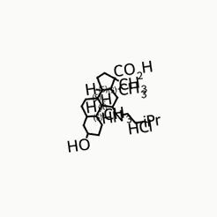 CC(C)CCNC1C[C@@]2(C)[C@@H](CCC2(C)C(=O)O)[C@@H]2CCC3CC(O)CC[C@]3(C)[C@H]12.Cl